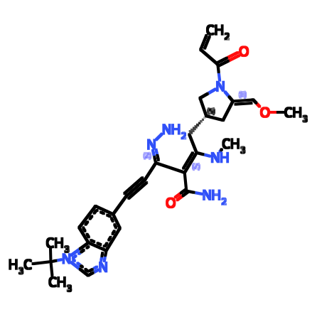 C=CC(=O)N1C[C@@H](C/C(NC)=C(C(N)=O)\C(C#Cc2ccc3c(c2)ncn3C(C)(C)C)=N/N)C/C1=C\OC